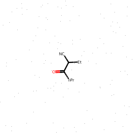 CCCC(=O)C(C#N)CC